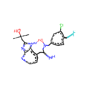 CC(C)(O)c1nc2nccc(C(=N)N(O)c3ccc(F)c(Cl)c3)c2[nH]1